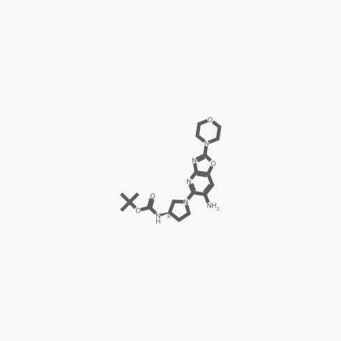 CC(C)(C)OC(=O)N[C@@H]1CCN(c2nc3nc(N4CCOCC4)oc3cc2N)C1